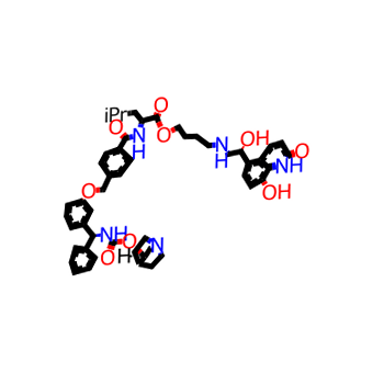 CC(C)CC(NC(=O)c1ccc(COc2cccc([C@@H](NC(=O)O[C@H]3CN4CCC3CC4)c3ccccc3)c2)cc1)C(=O)OCCCCNC[C@H](O)c1ccc(O)c2[nH]c(=O)ccc12